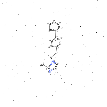 CC(=O)c1nccn1CCc1ccc(-c2ccccc2)cc1